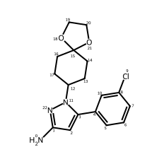 Nc1cc(-c2cccc(Cl)c2)n(C2CCC3(CC2)OCCO3)n1